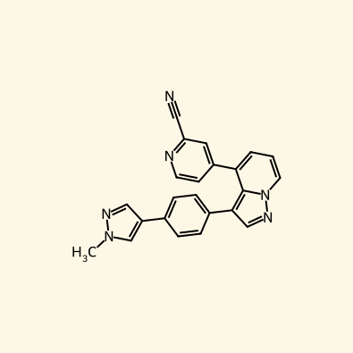 Cn1cc(-c2ccc(-c3cnn4cccc(-c5ccnc(C#N)c5)c34)cc2)cn1